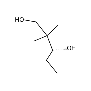 CC[C@@H](O)C(C)(C)CO